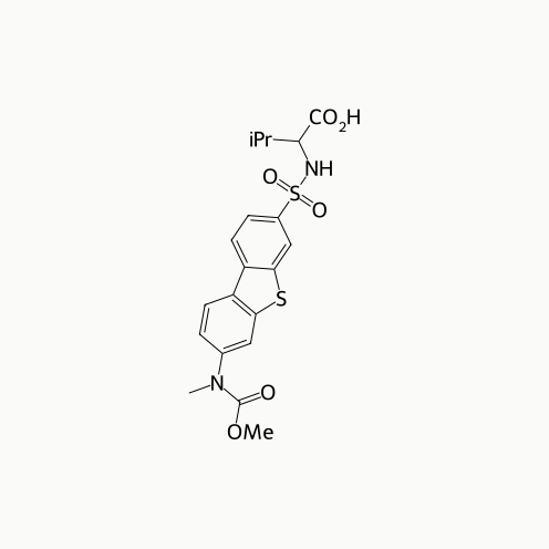 COC(=O)N(C)c1ccc2c(c1)sc1cc(S(=O)(=O)NC(C(=O)O)C(C)C)ccc12